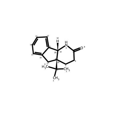 CC(C)(C)[C@]12CCC(=O)N[C@H]1c1ccccc1C2